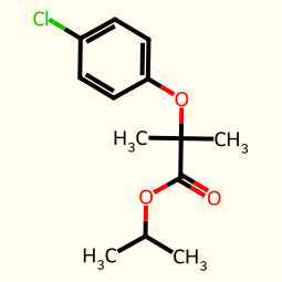 CC(C)OC(=O)C(C)(C)Oc1ccc(Cl)cc1